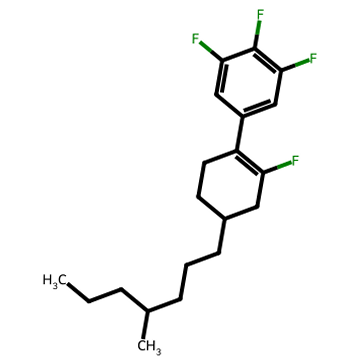 CCCC(C)CCCC1CCC(c2cc(F)c(F)c(F)c2)=C(F)C1